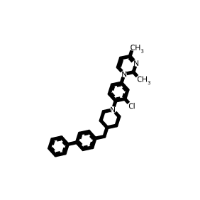 CC1=NC(C)N(c2ccc(N3CCC(Cc4ccc(-c5ccccc5)cc4)CC3)c(Cl)c2)C=C1